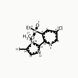 CCS(=O)(=O)c1cc(Cl)cnc1-c1ncc(I)n1C